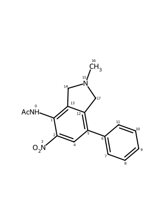 CC(=O)Nc1c([N+](=O)[O-])cc(-c2ccccc2)c2c1CN(C)C2